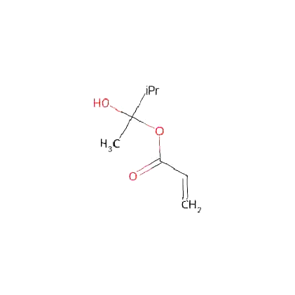 C=CC(=O)OC(C)(O)C(C)C